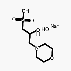 O=S(=O)(O)CC(O)CN1CCOCC1.[Na+].[OH-]